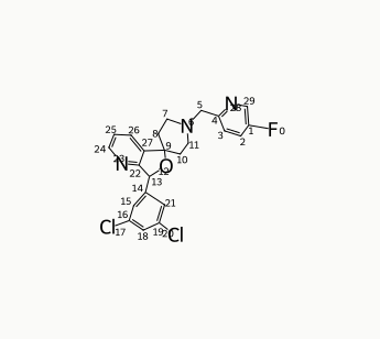 Fc1ccc(CN2CCC3(CC2)OC(c2cc(Cl)cc(Cl)c2)c2ncccc23)nc1